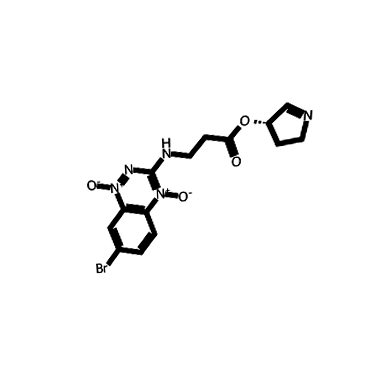 O=C(CCNc1n[n+]([O-])c2cc(Br)ccc2[n+]1[O-])O[C@@H]1C=NCC1